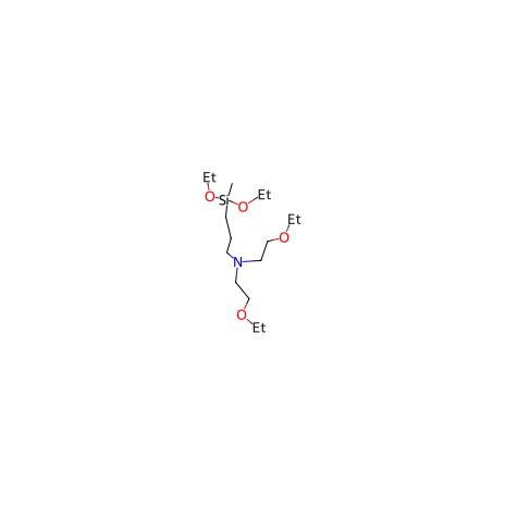 CCOCCN(CCC[Si](C)(OCC)OCC)CCOCC